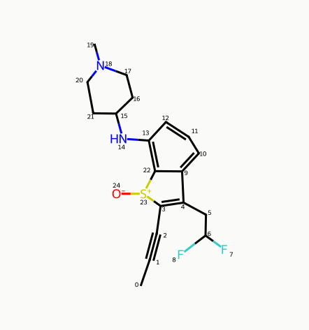 CC#Cc1c(CC(F)F)c2cccc(NC3CCN(C)CC3)c2[s+]1[O-]